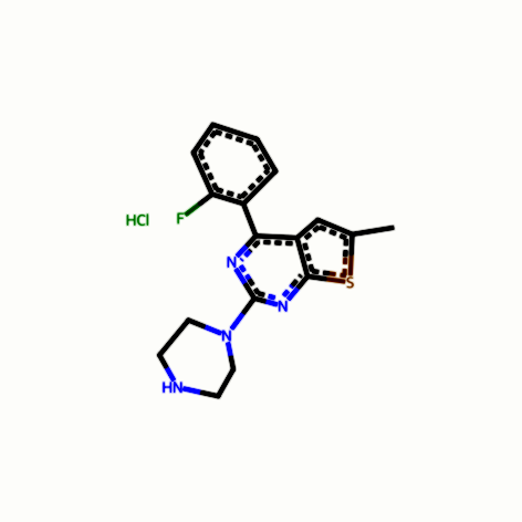 Cc1cc2c(-c3ccccc3F)nc(N3CCNCC3)nc2s1.Cl